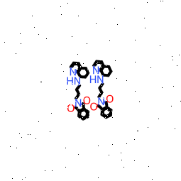 O=C1c2ccccc2C(=O)N1CCCCNC1CCCc2cccnc21.O=C1c2ccccc2C(=O)N1CCCCNC1CCCc2cccnc21